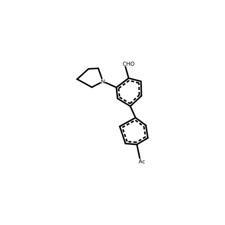 CC(=O)c1ccc(-c2ccc(C=O)c(N3CCCC3)c2)cc1